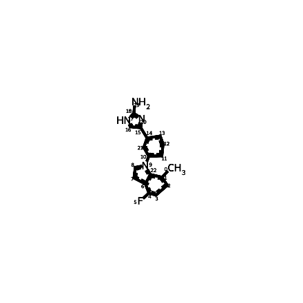 Cc1ccc(F)c2ccn(-c3cccc(-c4c[nH]c(N)n4)c3)c12